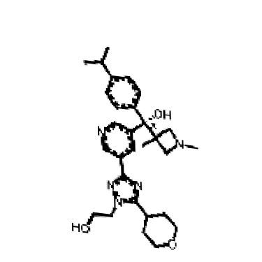 CC(C)c1ccc([C@](O)(c2cncc(-c3nc(C4CCOCC4)n(CCO)n3)c2)C2(C)CN(C)C2)cc1